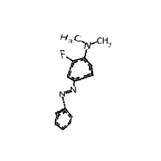 CN(C)c1ccc(N=Nc2ccccc2)cc1F